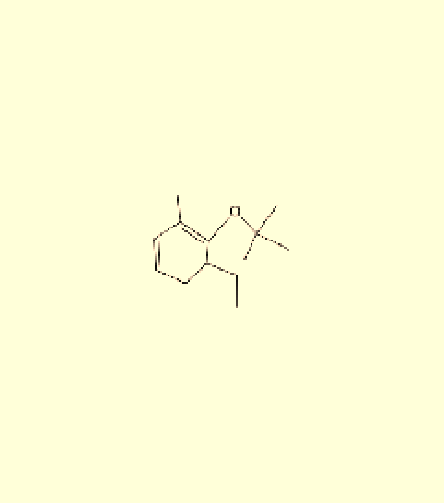 CCC1CC=CC(C)=C1OC(C)(C)C